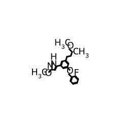 COC[C@H](C)CCc1cc(OCc2ccccc2F)cc(-c2cc(OC)n[nH]2)c1